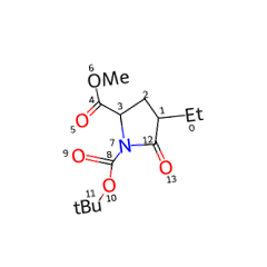 CCC1CC(C(=O)OC)N(C(=O)OC(C)(C)C)C1=O